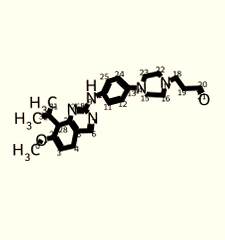 COC1=CCc2cnc(Nc3ccc(N4CCN(CCC=O)CC4)cc3)nc2C1C(C)C